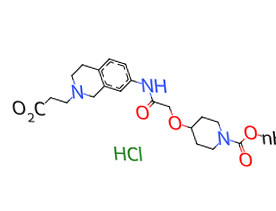 CCCCCCOC(=O)N1CCC(OCC(=O)Nc2ccc3c(c2)CN(CCC(=O)OCC)CC3)CC1.Cl